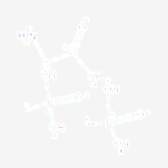 CP(=O)(O)O.CP(=O)(O)O.NCC(=O)O